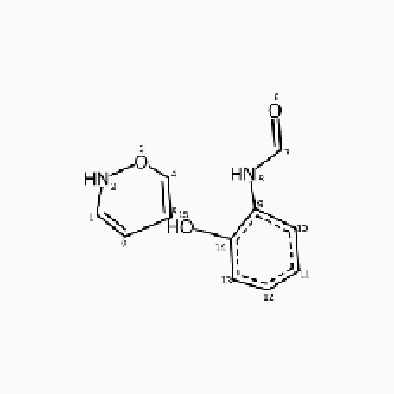 C1=CNOC=C1.O=CNc1ccccc1O